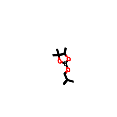 CC(C)COB1OC(C)C(C)(C)O1